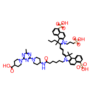 CCCC1(C)C(/C=C/C=C2/N(CCCCCC(=O)NC3CCN(c4nc(C)nc(N5CCC(C(=O)O)CC5)n4)CC3)c3ccc4c(S(=O)(=O)O)cccc4c3C2(C)C)=[N+](CCCS(=O)(=O)O)c2ccc3c(S(=O)(=O)O)cccc3c21